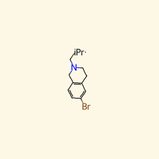 C[C](C)CN1CCc2cc(Br)ccc2C1